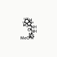 COc1nsc(NC(=O)NC2C[C@H]3CCC[C@H]3C2)n1